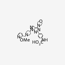 COc1ncccc1CN1CCC(n2ncc3c(N4CCOCC4)nc(-c4ccc(NC(=O)O)cc4)nc32)CC1